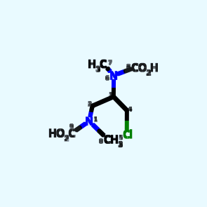 CN(CC(CCl)N(C)C(=O)O)C(=O)O